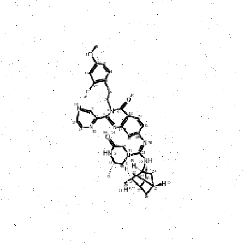 COc1ccc(CCn2c(-c3cnccn3)nc3cc(N=C(N[C@H]4C[C@@H]5C[C@@H]([C@H]4C)C5(C)C)N4CC(=O)N[C@@H](C)C4)ccc3c2=O)c(F)c1